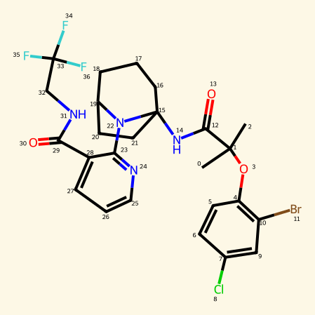 CC(C)(Oc1ccc(Cl)cc1Br)C(=O)NC12CCCC(CC1)N2c1ncccc1C(=O)NCC(F)(F)F